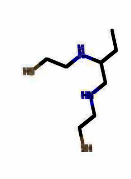 CCC(CNCCS)NCCS